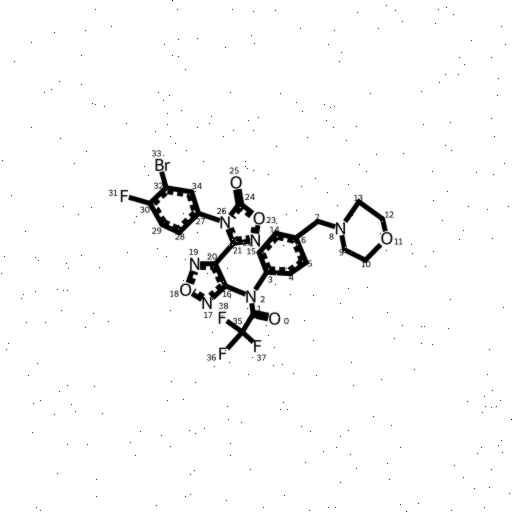 O=C(N(c1ccc(CN2CCOCC2)cc1)c1nonc1-c1noc(=O)n1-c1ccc(F)c(Br)c1)C(F)(F)F